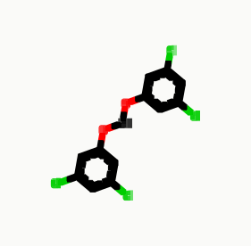 Clc1cc(Cl)cc(OBOc2cc(Cl)cc(Cl)c2)c1